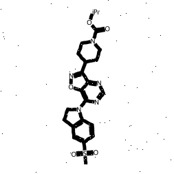 CC(C)OC(=O)N1CCC(c2noc3c(N4CCc5cc(S(C)(=O)=O)ccc54)ncnc23)CC1